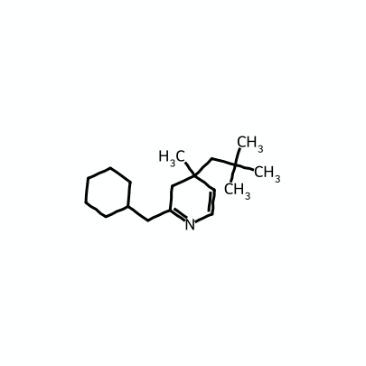 CC(C)(C)CC1(C)C=CN=C(CC2CCCCC2)C1